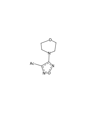 CC(=O)c1nonc1N1CCOCC1